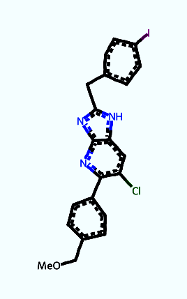 COCc1ccc(-c2nc3nc(Cc4ccc(I)cc4)[nH]c3cc2Cl)cc1